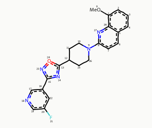 COc1cccc2ccc(N3CCC(c4nc(-c5cncc(F)c5)no4)CC3)nc12